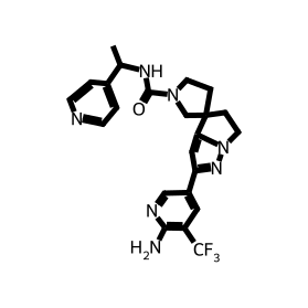 CC(NC(=O)N1CCC2(CCn3nc(-c4cnc(N)c(C(F)(F)F)c4)cc32)C1)c1ccncc1